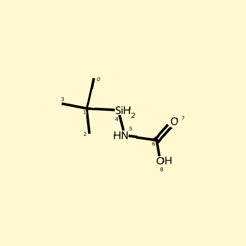 CC(C)(C)[SiH2]NC(=O)O